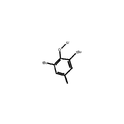 Cc1cc(C(C)(C)C)c([O][Sc])c(C(C)(C)C)c1